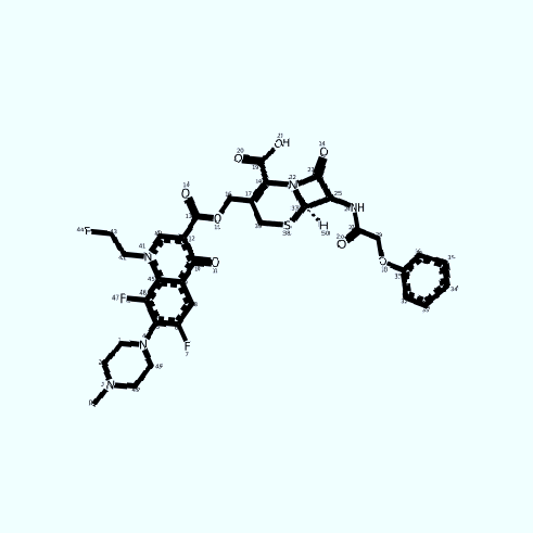 CN1CCN(c2c(F)cc3c(=O)c(C(=O)OCC4=C(C(=O)O)N5C(=O)C(NC(=O)COc6ccccc6)[C@H]5SC4)cn(CCF)c3c2F)CC1